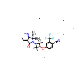 BC1(B)C(=N/C)/C(=C\C)C(=O)N1C1C(C)(C)C(Oc2ccc(C#N)c(C(F)(F)F)c2)C1(C)C